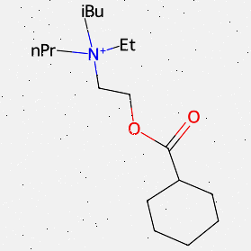 CCC[N+](CC)(CCOC(=O)C1CCCCC1)C(C)CC